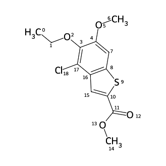 CCOc1c(OC)cc2sc(C(=O)OC)cc2c1Cl